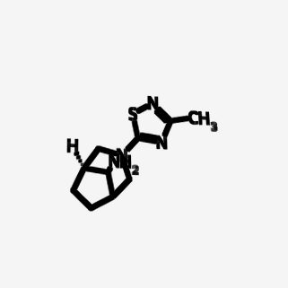 Cc1nsc(N2CC3CC[C@@H](C2)C3N)n1